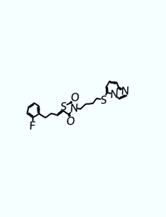 O=C1SC(=CCCc2ccccc2F)C(=O)N1CCCCSc1cccc2nccn12